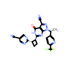 C[C@H](c1ccc(C(F)(F)F)nc1)n1nc(C#N)c2c(=O)[nH]c([C@H]3CC[C@@H]3c3ncc(C#N)cn3)nc21